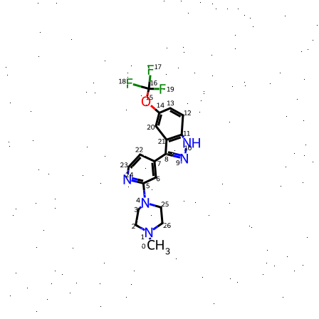 CN1CCN(c2cc(-c3n[nH]c4ccc(OC(F)(F)F)cc34)ccn2)CC1